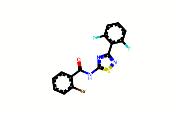 O=C(Nc1nc(-c2c(F)cccc2F)ns1)c1ccccc1Br